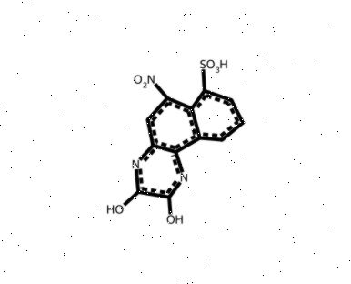 O=[N+]([O-])c1cc2nc(O)c(O)nc2c2cccc(S(=O)(=O)O)c12